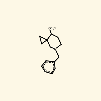 CCOC(=O)C1CCN(Cc2ccccc2)CC12CC2